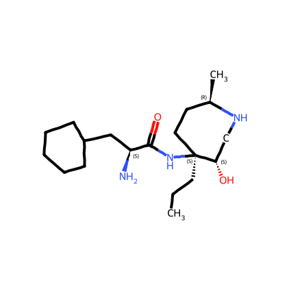 CCC[C@]1(NC(=O)[C@@H](N)CC2CCCCC2)CC[C@@H](C)NC[C@@H]1O